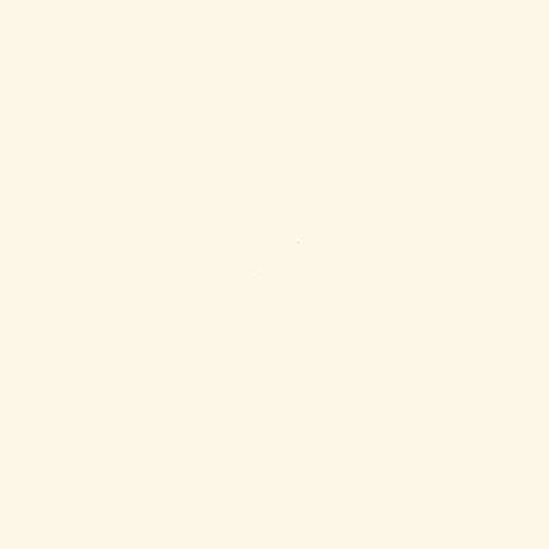 COC(=O)C1C(=C(C)CC=S)OC2CC(=O)N21